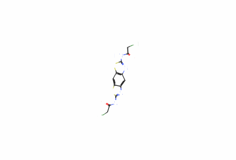 O=C(CCl)Nc1nc2cc3nc(NC(=O)CCl)sc3cc2s1